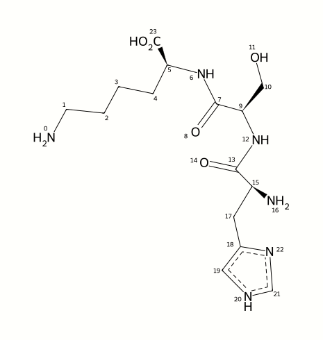 NCCCC[C@H](NC(=O)[C@@H](CO)NC(=O)[C@@H](N)Cc1c[nH]cn1)C(=O)O